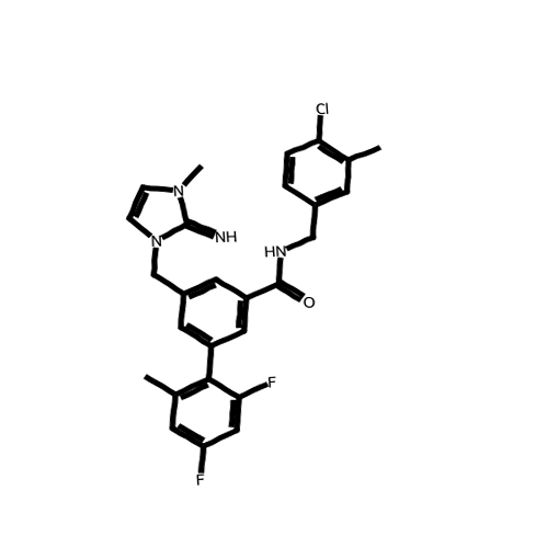 Cc1cc(CNC(=O)c2cc(Cn3ccn(C)c3=N)cc(-c3c(C)cc(F)cc3F)c2)ccc1Cl